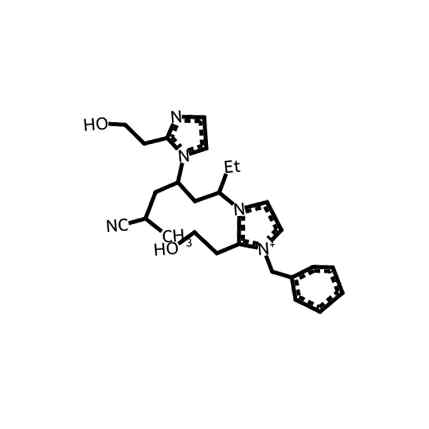 CCC(CC(CC(C)C#N)n1ccnc1CCO)n1cc[n+](Cc2ccccc2)c1CCO